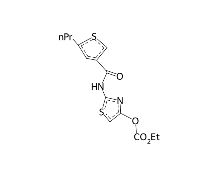 CCCc1cc(C(=O)Nc2nc(OC(=O)OCC)cs2)cs1